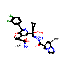 COc1cc(C(=O)NCC(O)(c2cc3c(c(-c4ccc(Cl)c(F)c4)n2)OC[C@]3(C)C(N)=O)C2CC2)cn2ccnc12